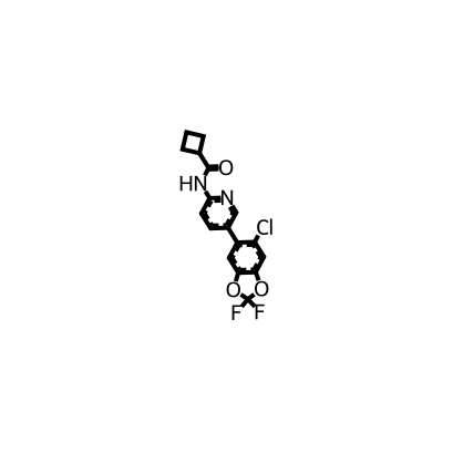 O=C(Nc1ccc(-c2cc3c(cc2Cl)OC(F)(F)O3)cn1)C1CCC1